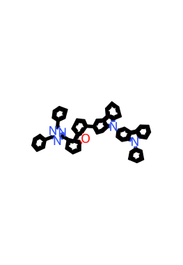 c1ccc(-c2nc(-c3ccccc3)nc(-c3cccc4oc5c(-c6ccc7c(c6)c6ccccc6n7-c6ccc7c(c6)c6ccccc6n7-c6ccccc6)cccc5c34)n2)cc1